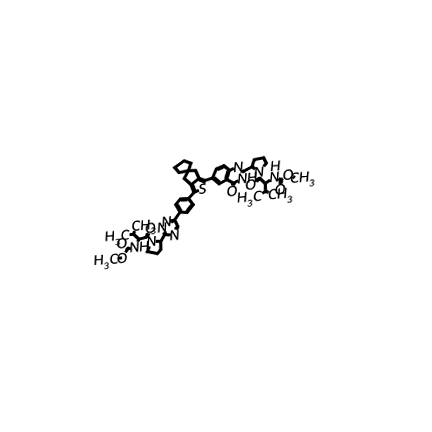 COC(=O)NC(C(=O)N1CCCC1c1ncc(-c2ccc(-c3sc(-c4ccc5nc(C6CCCN6C(=O)C(NC(=O)OC)C(C)C)[nH]c(=O)c5c4)c4c3CC3(CCCC3)C4)cc2)nn1)C(C)C